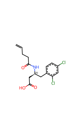 C=CCCC(=O)N[C@H](CC(=O)O)Cc1ccc(Cl)cc1Cl